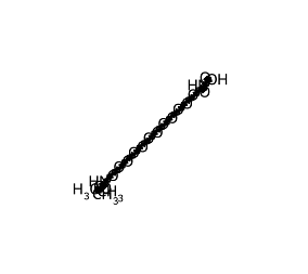 CC(C)(C)OC(=O)NCCOCCOCCOCCOCCOCCOCCOCCOCCOCCOCCOCCOCCC(=O)NCC(=O)O